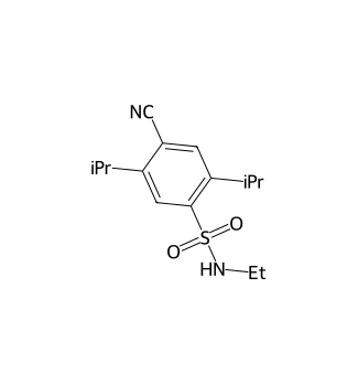 CCNS(=O)(=O)c1cc(C(C)C)c(C#N)cc1C(C)C